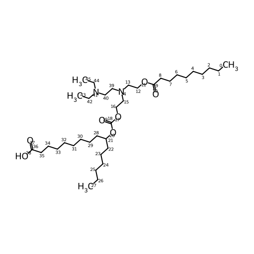 CCCCCCCCCC(=O)OCCN(CCOC(=O)OC(CCCCCC)CCCCCCCCC(=O)O)CCN(CC)CC